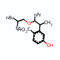 CCCCC(CC)COC(CCC)C(C)c1cc(O)ccc1C(=O)O